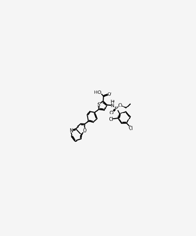 CCOP(=O)(Nc1cc(-c2ccc(-c3cc4ncccc4o3)cc2)sc1C(=O)O)c1ccc(Cl)cc1Cl